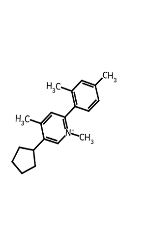 Cc1ccc(-c2cc(C)c(C3CCCC3)c[n+]2C)c(C)c1